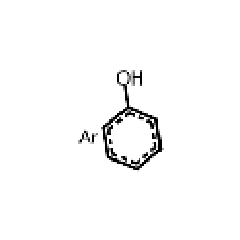 Oc1ccccc1.[Ar]